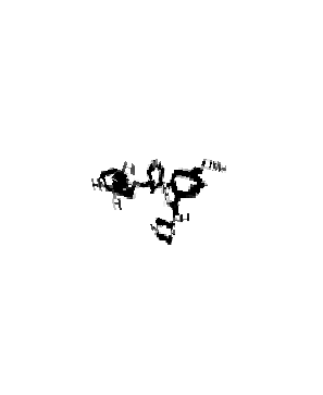 COc1ccc2c(Nc3cnccn3)nn(-c3cncc(N4C[C@@H]5C[C@H]4CN5)c3)c2c1